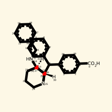 O=C(O)c1ccc(C(c2ccccc2)[C@H]2[C@H](NCc3ccccc3)C3CCN2CC3)cc1